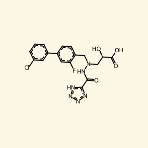 O=C(NN(Cc1ccc(-c2cccc(Cl)c2)cc1F)C[C@@H](O)C(=O)O)c1nnn[nH]1